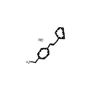 Cl.NCc1ccc(C=Cc2ccccc2)cc1